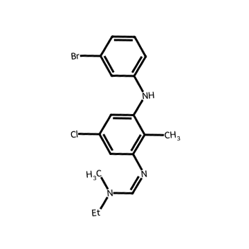 CCN(C)/C=N\c1cc(Cl)cc(Nc2cccc(Br)c2)c1C